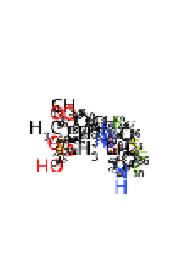 COC(=O)[C@@H](C)Cc1cccc([C@@](C)(CCCC(C)(C)CS(=O)(=O)CCO)c2nc(-c3cc(Sc4c(F)c(F)c5[nH]ccc5c4Br)ccc3F)n(C)n2)c1